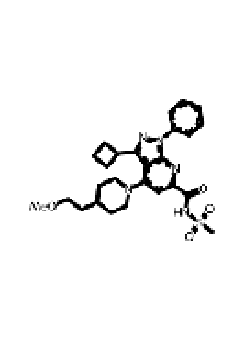 COCCC1CCN(c2cc(C(=O)NS(C)(=O)=O)nc3c2c(C2CCC2)nn3-c2ccccc2)CC1